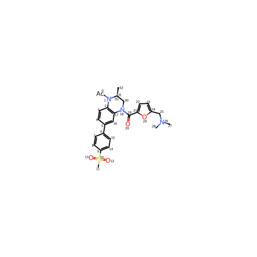 CC(=O)N1c2ccc(-c3ccc(S(C)(=O)=O)cc3)cc2N(C(=O)c2ccc(CN(C)C)o2)C[C@@H]1C